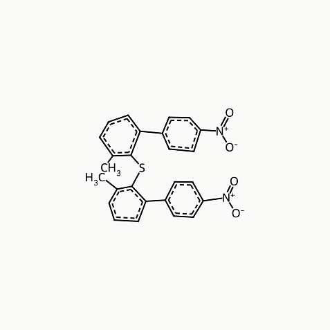 Cc1cccc(-c2ccc([N+](=O)[O-])cc2)c1Sc1c(C)cccc1-c1ccc([N+](=O)[O-])cc1